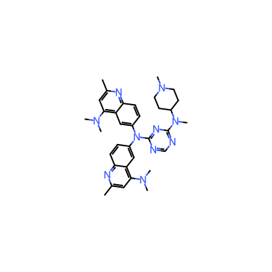 Cc1cc(N(C)C)c2cc(N(c3ccc4nc(C)cc(N(C)C)c4c3)c3ncnc(N(C)C4CCN(C)CC4)n3)ccc2n1